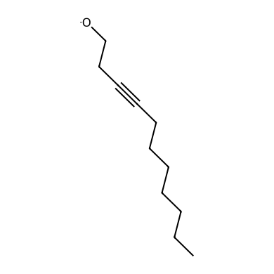 CCCCCCCC#CCC[O]